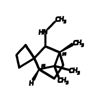 CNC1C2(CCC2)[C@H]2CC[C@]1(C)C2(C)C